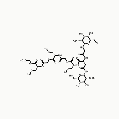 CC(=O)N[C@@H]1[C@@H](O)[C@H](O)[C@@H](CO)O[C@H]1NCC(=O)N[C@@H](CC(=O)N[C@@H]1O[C@H](CO)[C@@H](O)[C@H](O)[C@H]1NC(C)=O)C(=O)N[C@@H](COC(C)(C)C)C(=O)NCC(=O)N[C@@H](COC(C)(C)C)C(=O)NCC(=O)N[C@@H](COC(C)(C)C)C(=O)NCC(=O)O